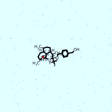 C[C@@H]1CC[C@H]2[C@@H](C)[C@](OCc3ccc(CO)cc3)(C(F)(F)F)O[C@@H]3O[C@]4(C)CC[C@@H]1[C@]32OO4